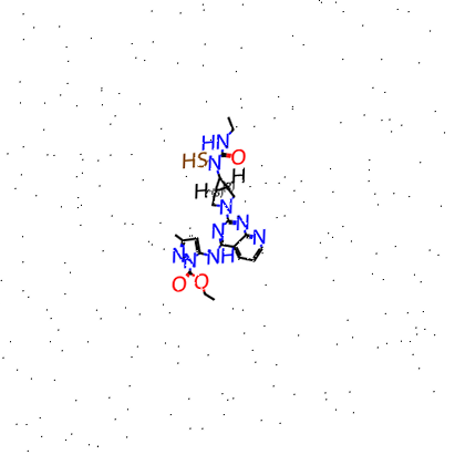 CCNC(=O)N(S)C1[C@H]2CN(c3nc(Nc4cc(C)nn4C(=O)OCC)c4cccnc4n3)C[C@@H]12